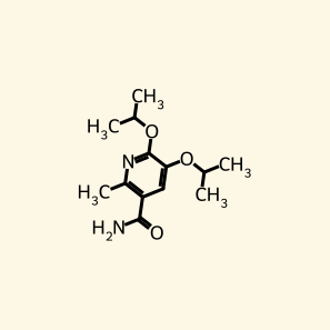 Cc1nc(OC(C)C)c(OC(C)C)cc1C(N)=O